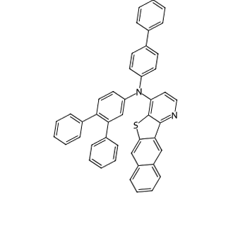 c1ccc(-c2ccc(N(c3ccc(-c4ccccc4)c(-c4ccccc4)c3)c3ccnc4c3sc3cc5ccccc5cc34)cc2)cc1